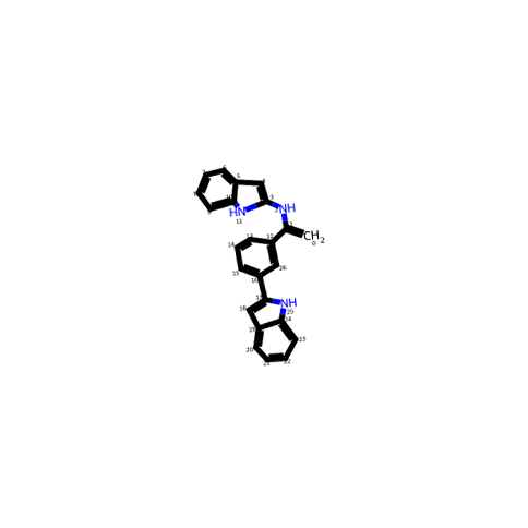 C=C(Nc1cc2ccccc2[nH]1)c1cccc(-c2cc3ccccc3[nH]2)c1